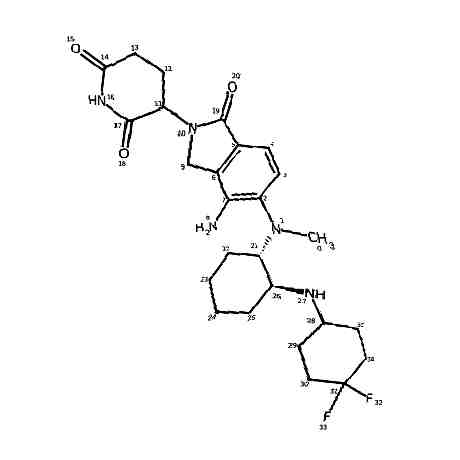 CN(c1ccc2c(c1N)CN(C1CCC(=O)NC1=O)C2=O)[C@H]1CCCC[C@@H]1NC1CCC(F)(F)CC1